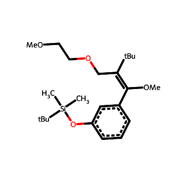 COCCOCC(=C(OC)c1cccc(O[Si](C)(C)C(C)(C)C)c1)C(C)(C)C